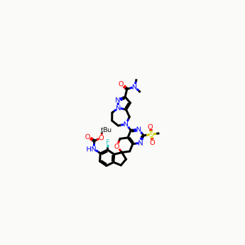 CN(C)C(=O)c1cc2n(n1)CCCN(c1nc(S(C)(=O)=O)nc3c1COC1(CCc4ccc(NC(=O)OC(C)(C)C)c(F)c41)C3)C2